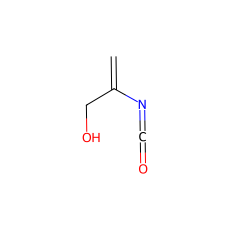 C=C(CO)N=C=O